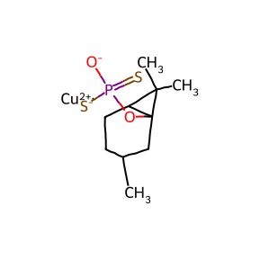 CC1CCC2C(C)(C)C2(OP([O-])(=S)[S-])C1.[Cu+2]